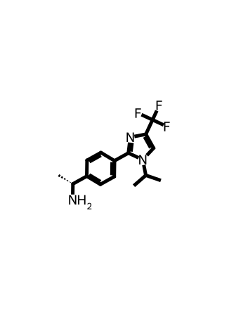 CC(C)n1cc(C(F)(F)F)nc1-c1ccc([C@@H](C)N)cc1